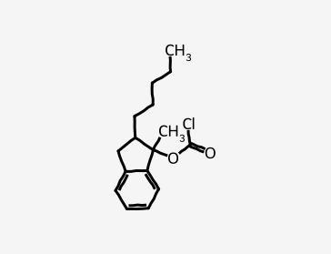 CCCCCC1Cc2ccccc2C1(C)OC(=O)Cl